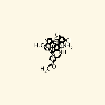 C=CC(=O)N1CCN2c3nc(=O)n(-c4c(C)ccnc4C(C)C)c4c(Cl)c(-c5c(N)c(Cl)cc(Cl)c5F)c(F)c(c34)NCCC2C1